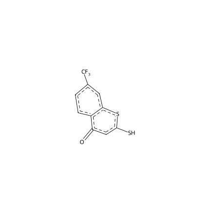 O=c1cc(S)sc2cc(C(F)(F)F)ccc12